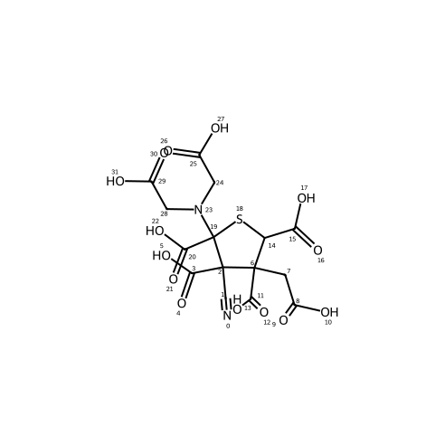 N#CC1(C(=O)O)C(CC(=O)O)(C(=O)O)C(C(=O)O)SC1(C(=O)O)N(CC(=O)O)CC(=O)O